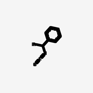 CC(C)C(N=C=O)c1ccccc1